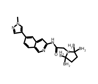 BC1(B)CCC(B)(B)N1CC(=O)Nc1cc2cc(-c3cnn(C)c3)ccc2cn1